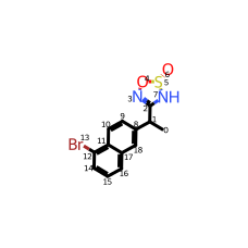 CC(C1=NOS(=O)N1)c1ccc2c(Br)cccc2c1